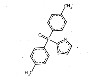 Cc1ccc(P(=O)(c2ccc(C)cc2)c2nccs2)cc1